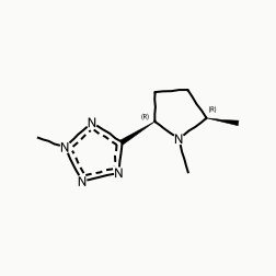 C[C@@H]1CC[C@H](c2nnn(C)n2)N1C